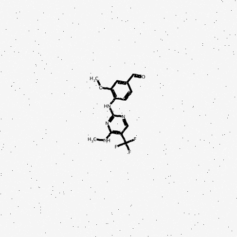 CNc1nc(Nc2ccc(C=O)cc2OC)ncc1C(F)(F)F